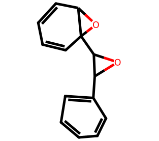 C1=CC2OC2(C2OC2c2ccccc2)C=C1